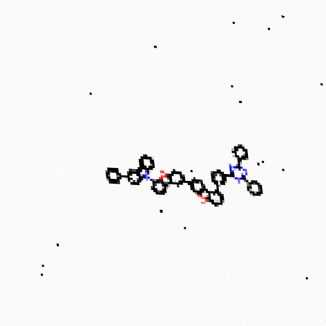 c1ccc(-c2ccc3c(c2)c2ccccc2n3-c2cccc3c2oc2ccc(-c4ccc5c(c4)oc4cccc(-c6cccc(-c7nc(-c8ccccc8)nc(-c8ccccc8)n7)c6)c45)cc23)cc1